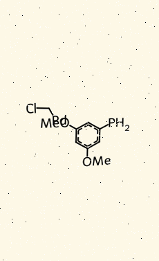 COc1cc(P)cc(OC)c1.Cl[CH2][Pd]